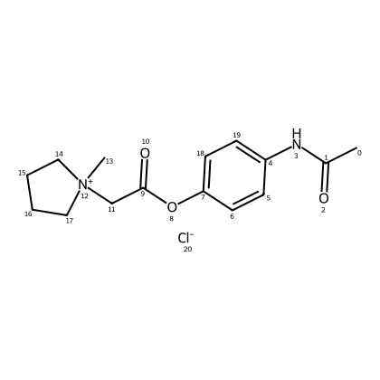 CC(=O)Nc1ccc(OC(=O)C[N+]2(C)CCCC2)cc1.[Cl-]